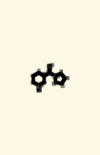 O=C(C1CCCNC1)N1CCCC1